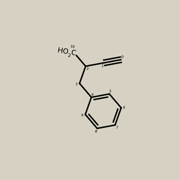 C#CC(Cc1ccccc1)C(=O)O